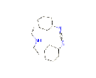 C(=NC1CCCCC1)=NC1CCCCC1.CCNCC